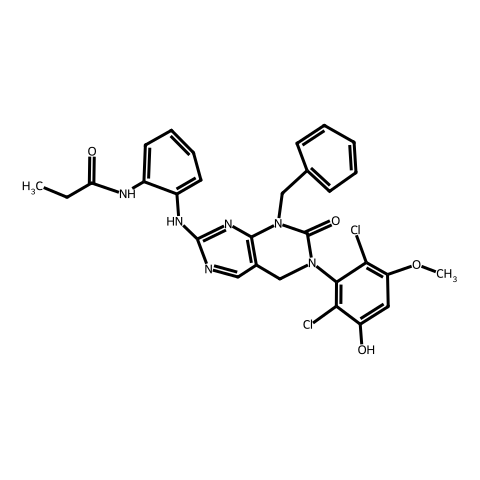 CCC(=O)Nc1ccccc1Nc1ncc2c(n1)N(Cc1ccccc1)C(=O)N(c1c(Cl)c(O)cc(OC)c1Cl)C2